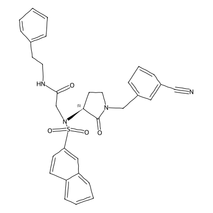 N#Cc1cccc(CN2CC[C@H](N(CC(=O)NCCc3ccccc3)S(=O)(=O)c3ccc4ccccc4c3)C2=O)c1